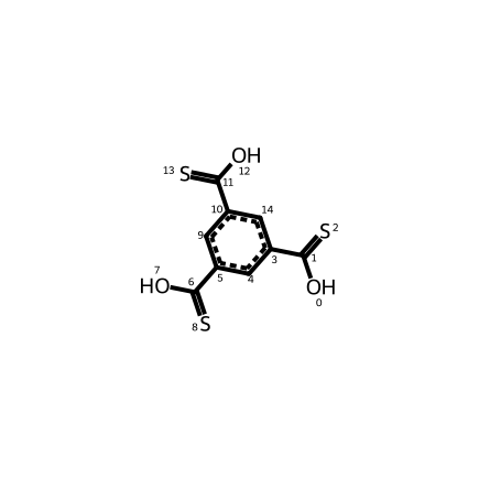 OC(=S)c1cc(C(O)=S)cc(C(O)=S)c1